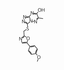 COc1ccc(-c2cnc(CSc3nnc4nc(O)c(C)nn34)o2)cc1